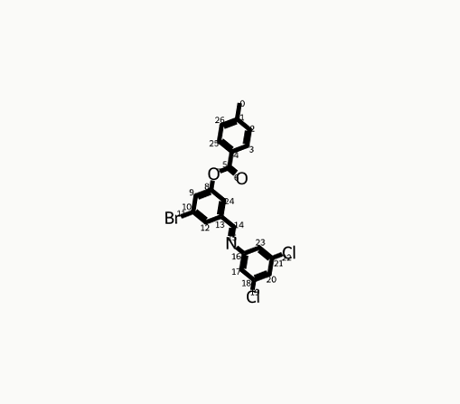 Cc1ccc(C(=O)Oc2cc(Br)cc(C=Nc3cc(Cl)cc(Cl)c3)c2)cc1